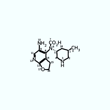 C[C@H]1CNC[C@H](N(C(=O)O)c2c(N)cnc3c2CCO3)C1